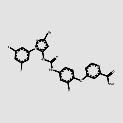 CNC(=O)c1cc(Oc2ccc(NC(=O)Nc3cc(C(C)C)nn3-c3cc(F)cc(F)c3)cc2F)ccn1